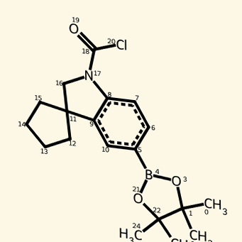 CC1(C)OB(c2ccc3c(c2)C2(CCCC2)CN3C(=O)Cl)OC1(C)C